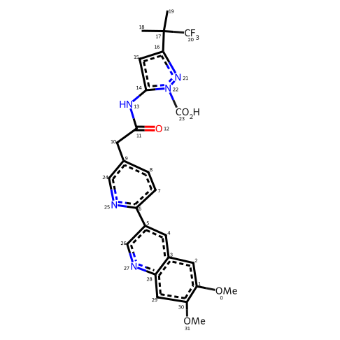 COc1cc2cc(-c3ccc(CC(=O)Nc4cc(C(C)(C)C(F)(F)F)nn4C(=O)O)cn3)cnc2cc1OC